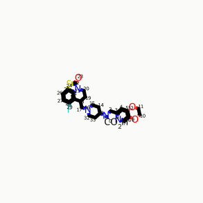 O=C(O)N(Cc1cc2c(cn1)OCCO2)C1CCN(CC2CCn3c(=O)sc4ccc(F)c2c43)CC1